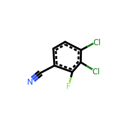 N#Cc1ccc(Cl)c(Cl)c1F